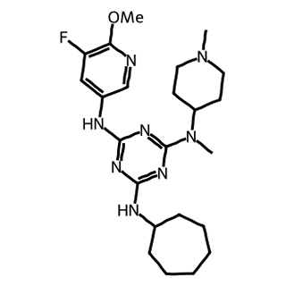 COc1ncc(Nc2nc(NC3CCCCCC3)nc(N(C)C3CCN(C)CC3)n2)cc1F